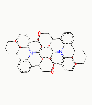 O=c1c2ccccc2n(-c2c(C3CCCCC3)cccc2C2CCCCC2)c2cc3c(=O)c4ccccc4n(-c4c(C5CCCCC5)cccc4C4CCCCC4)c3cc12